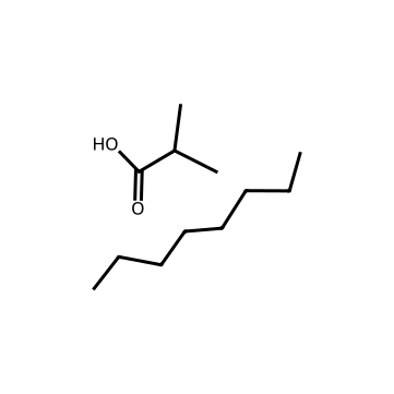 CC(C)C(=O)O.CCCCCCCC